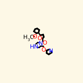 COc1ccccc1-c1ccc(C(=O)N2CCNCC2COc2cccnc2)o1